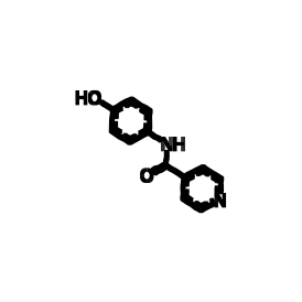 O=C(Nc1ccc(O)cc1)c1ccncc1